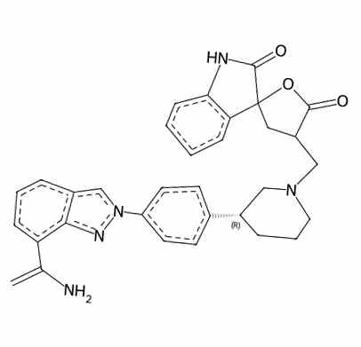 C=C(N)c1cccc2cn(-c3ccc([C@H]4CCCN(CC5CC6(OC5=O)C(=O)Nc5ccccc56)C4)cc3)nc12